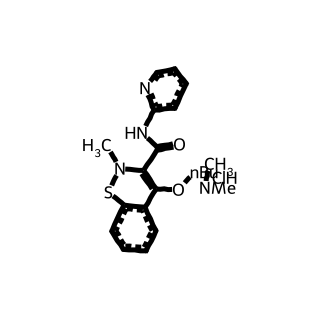 CCCCOC1=C(C(=O)Nc2ccccn2)N(C)Sc2ccccc21.CNC.Cl